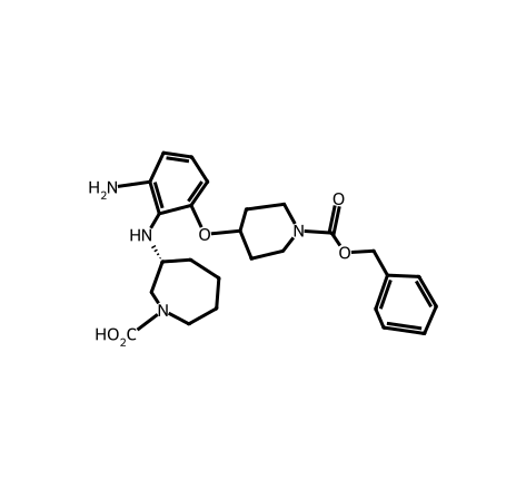 Nc1cccc(OC2CCN(C(=O)OCc3ccccc3)CC2)c1N[C@@H]1CCCCN(C(=O)O)C1